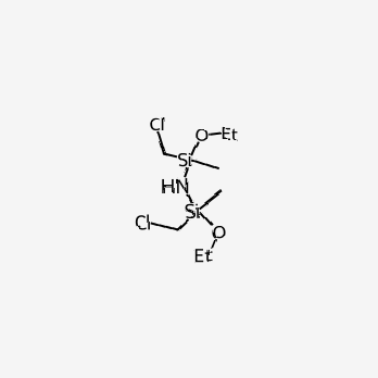 CCO[Si](C)(CCl)N[Si](C)(CCl)OCC